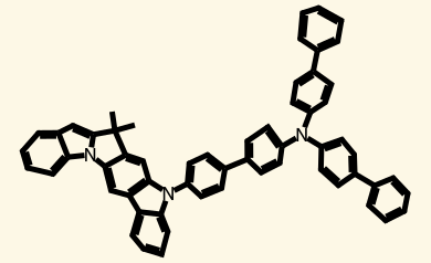 CC1(C)c2cc3c(cc2-n2c1cc1ccccc12)c1ccccc1n3-c1ccc(-c2ccc(N(c3ccc(-c4ccccc4)cc3)c3ccc(-c4ccccc4)cc3)cc2)cc1